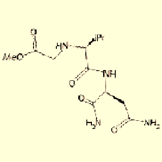 COC(=O)CN[C@H](C(=O)N[C@@H](CC(N)=O)C(N)=O)C(C)C